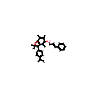 Cc1c(C)c2c(c(C)c1OC/C=C/c1ccccc1)C(c1ccc(C(C)C)cc1)C(C)(C)O2